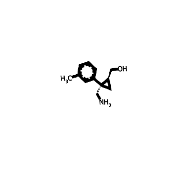 Cc1cccc([C@]2(CN)C[C@@H]2CO)c1